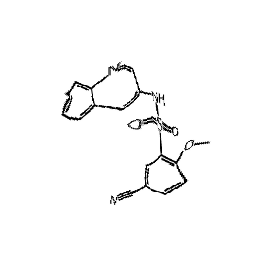 COc1ccc(C#N)cc1S(=O)(=O)Nc1cnc2ccccc2c1